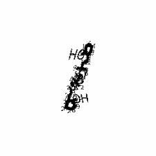 CC(C)(O[Si](C)(C)C(C)(C)CCc1ccccc1O)[Si](C)(C)CCCc1ccccc1O